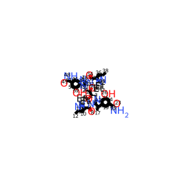 CCO[C@H](CN1/C(=N/C(=O)c2cc(C)nn2CC)C(C)c2cc(C(N)=O)cc(O)c21)[C@@H](Cn1/c(=N/C(=O)c2cc(C)nn2CC)n(C)c2cc(C(N)=O)cc(O)c21)OCC